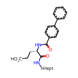 CCCCCCCNC(=O)[C@H](CCC(=O)O)NC(=O)c1ccc(-c2ccccc2)cc1